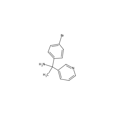 CC(N)(c1ccc(Br)cc1)c1cccnc1